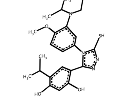 CCCN(c1cc(-n2c(S)nnc2-c2cc(C(C)C)c(O)cc2O)ccc1OC)C(C)C